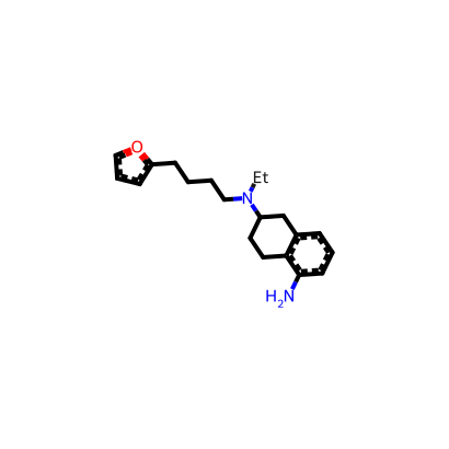 CCN(CCCCc1ccco1)C1CCc2c(N)cccc2C1